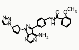 COc1ccccc1C(=O)NCc1ccc(-c2nn([C@H]3C=C[C@H](n4ccnn4)C3)c3ncnc(N)c23)cc1